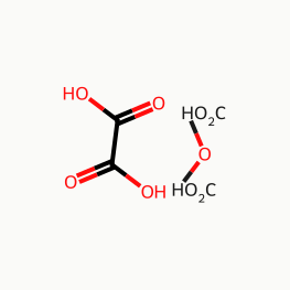 O=C(O)C(=O)O.O=C(O)OC(=O)O